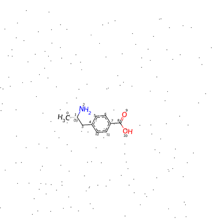 C[C@H](N)Cc1ccc(C(=O)O)cc1